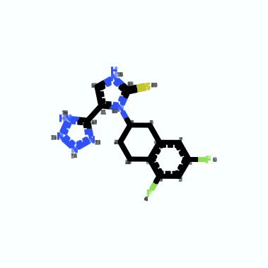 Fc1cc(F)c2c(c1)CC(n1c(-c3nnn[nH]3)c[nH]c1=S)CC2